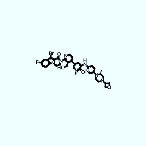 C[C@H]1CN(C2COC2)CCN1c1ccc(Nc2cc(-c3ccnc(-n4ccn5c(c(Br)c6cc(F)ccc65)c4=O)c3CO)cn(C)c2=O)nc1